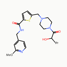 COc1cc(CNC(=O)c2ccc(CN3CCN(C(=O)C(O)C(C)C)CC3)s2)ccn1